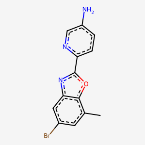 Cc1cc(Br)cc2nc(-c3ccc(N)cn3)oc12